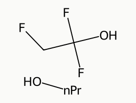 CCCO.OC(F)(F)CF